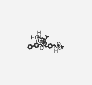 CC(C)C[C@H](CC(=O)NO)C(=O)NC(C(=O)NCc1ccc(CNC(=O)OC(C)(C)C)cc1)c1ccc(-c2ccccc2)cc1